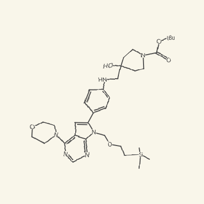 CC(C)(C)OC(=O)N1CCC(O)(CNc2ccc(-c3cc4c(N5CCOCC5)ncnc4n3COCC[Si](C)(C)C)cc2)CC1